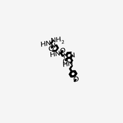 COc1ccc(CCNCc2nccn(CC(=O)NC3CCN(C(=N)N)OC3)c2=O)cc1